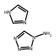 Nn1cnnn1.c1c[nH]cn1